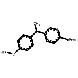 CCCCCc1ccc(C(C)c2ccc(OCCCC)cc2)cn1